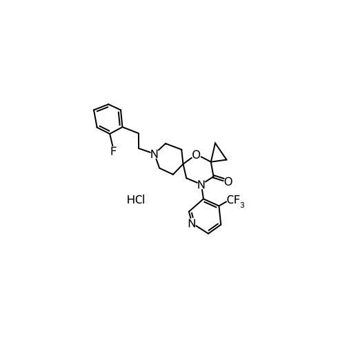 Cl.O=C1N(c2cnccc2C(F)(F)F)CC2(CCN(CCc3ccccc3F)CC2)OC12CC2